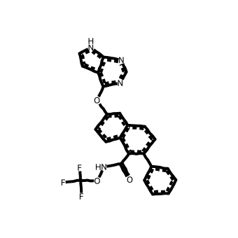 O=C(NOC(F)(F)F)c1c(-c2ccccc2)ccc2cc(Oc3ncnc4[nH]ccc34)ccc12